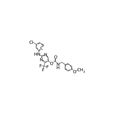 COc1ccc(CNC(=O)Oc2cnc(Nc3cccc(Cl)c3)nc2C(F)(F)F)cc1